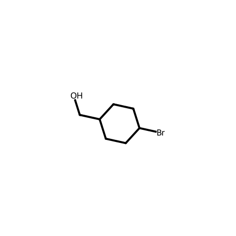 OCC1CCC(Br)CC1